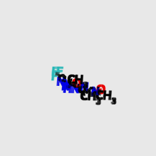 CC(=O)N1CC=C(c2ncc(NC(=O)c3cnn(-c4ccc(C(F)(F)F)cn4)c3C)cc2C)CC1